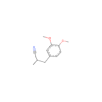 COc1ccc(CC(C)C#N)cc1OC